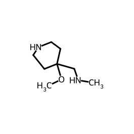 CNCC1(OC)CCNCC1